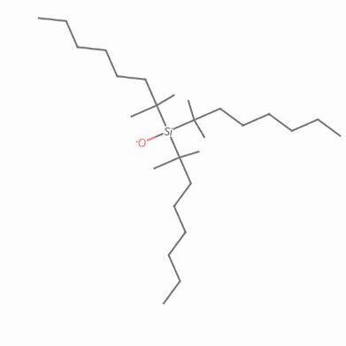 CCCCCCC(C)(C)[Si]([O])(C(C)(C)CCCCCC)C(C)(C)CCCCCC